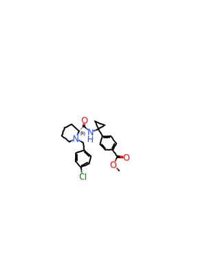 COC(=O)c1ccc(C2(NC(=O)[C@H]3CCCCN3Cc3ccc(Cl)cc3)CC2)cc1